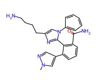 Cn1cc(-c2cccc(C(N)=O)c2-c2nc(CCCCN)cn2-c2ccccc2)cn1